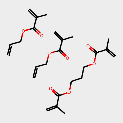 C=C(C)C(=O)OCCCOC(=O)C(=C)C.C=CCOC(=O)C(=C)C.C=CCOC(=O)C(=C)C